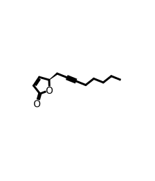 CCCCCC#CC[C@@H]1C=CC(=O)O1